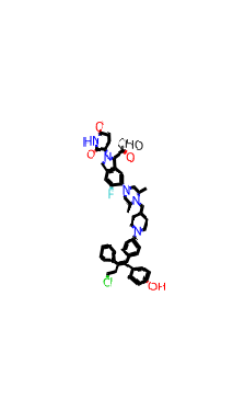 CC1CN(c2cc3c(cc2F)CN(C2CCC(=O)NC2=O)C3C(=O)C=O)CC(C)N1CC1CCN(c2ccc(C(=C(CCCl)c3ccccc3)c3ccc(O)cc3)cc2)CC1